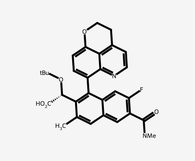 CNC(=O)c1cc2cc(C)c([C@@H](OC(C)(C)C)C(=O)O)c(-c3ccc4c5c(ccnc35)CCO4)c2cc1F